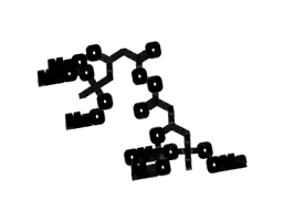 COOC(CC(=O)OOC(=O)CC(CC(C)(OOC)OOC)OOC)CC(C)(OOC)OOC